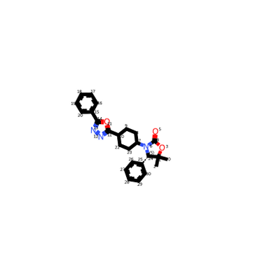 CC1(C)OC(=O)N(C2CCC(c3nnc(-c4ccccc4)o3)CC2)[C@H]1c1ccccc1